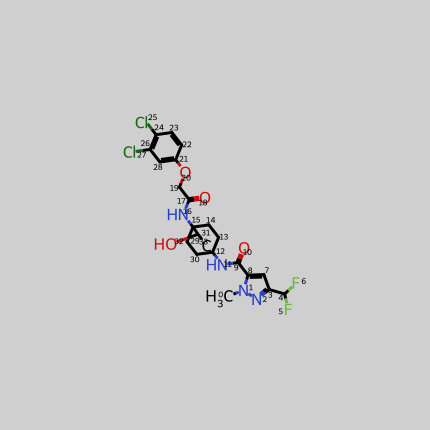 Cn1nc(C(F)F)cc1C(=O)NC12CCC(NC(=O)COc3ccc(Cl)c(Cl)c3)(CC1)C(O)C2